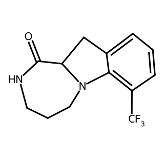 O=C1NCCCN2c3c(cccc3C(F)(F)F)CC12